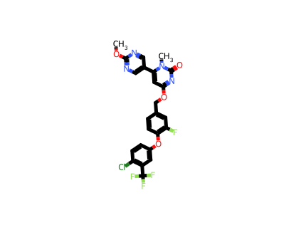 COc1ncc(-c2cc(OCc3ccc(Oc4ccc(Cl)c(C(F)(F)F)c4)c(F)c3)nc(=O)n2C)cn1